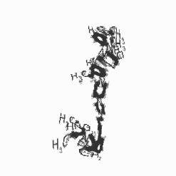 C=CNC(=O)C(CCC)N(C)Cc1c(C#CCCN2CCN(C3CCN(c4ccc(Nc5ncc(Cl)c(Nc6ccccc6P(=C)(C)C)n5)cc4CC)CC3)CC2)cccc1C=C